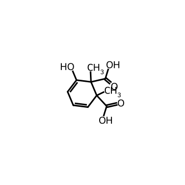 CC1(C(=O)O)C=CC=C(O)C1(C)C(=O)O